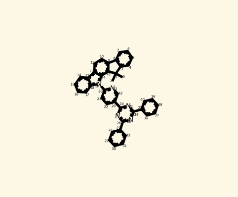 CC1(C)c2ccccc2-c2ccc3c4ccccc4n(-c4ccc(-c5nc(-c6ccccc6)nc(-c6ccccc6)n5)cn4)c3c21